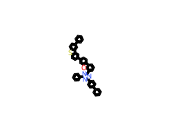 C1=CCC(c2ccc(-c3nc(C4=CC=CC5C6=C(C=C(c7ccc8sc9ccc(-c%10ccccc%10)cc9c8c7)CC6)OC45)nc(-c4ccccc4)n3)cc2)C=C1